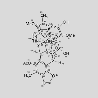 COc1cc2c(cc1O)CCN[C@]21S[C@@H]2c3c(OC(C)=O)c(C)c4c(c3[C@H](COC1=O)N1[C@@H]2C2NC(Cc3cc(C)c(OC)c(O)c32)[C@@H]1O)OCO4